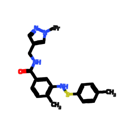 Cc1ccc(SNc2cc(C(=O)NCc3cnn(C(C)C)c3)ccc2C)cc1